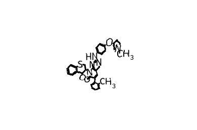 Cc1ccccc1-c1cc2cnc(Nc3ccc(OC4CCN(C)C4)cc3)nc2n(C2CSc3ccccc3C2=O)c1=O